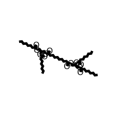 CCCCCCCC(=O)OCC(COC(=O)CCCCCCCCC(=O)OCC(COC(=O)CCCCCCC)OC(=O)CCCCCCC)OC(=O)CCCCCCC